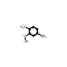 Cc1ccc(N)cc1OC(C)C